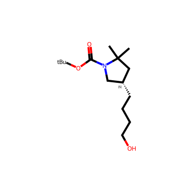 CC(C)(C)OC(=O)N1C[C@@H](CCCCO)CC1(C)C